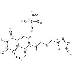 CN1C(=O)c2cccc3c(NCCCn4cc[n+](C)c4)ccc(c23)C1=O.COS(=O)(=O)[O-]